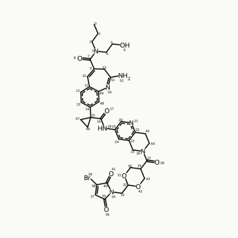 CCCN(CCO)C(=O)C1=Cc2ccc(C3(C(=O)Nc4cnc5c(c4)CN(C(=O)C4COC(CN6C(=O)C=C(Br)C6=O)OC4)CC5)CC3)cc2N=C(N)C1